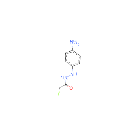 Nc1ccc(NNC(=O)CF)cc1